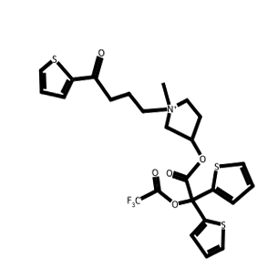 C[N+]1(CCCC(=O)c2cccs2)CCC(OC(=O)C(OC(=O)C(F)(F)F)(c2cccs2)c2cccs2)C1